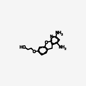 Nc1cc(N)c2c(n1)Oc1cc(OCCO)ccc1C2